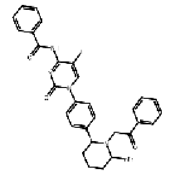 CCCC1CCC[C@@H](c2ccc(-n3cc(I)c(NC(=O)c4ccccc4)nc3=O)cc2)N1CC(=O)c1ccccc1